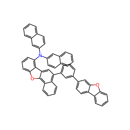 c1cc(-c2ccc3c(c2)oc2ccccc23)cc(-c2cc3c(oc4cccc(N(c5ccc6ccccc6c5)c5ccc6ccccc6c5)c43)c3ccccc23)c1